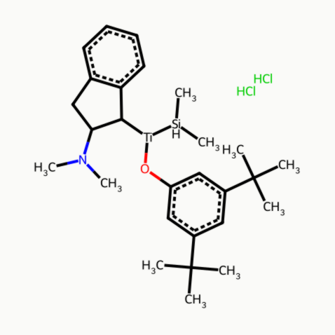 CN(C)C1Cc2ccccc2[CH]1[Ti]([O]c1cc(C(C)(C)C)cc(C(C)(C)C)c1)[SiH](C)C.Cl.Cl